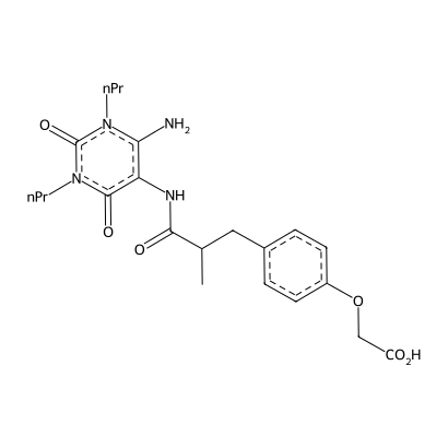 CCCn1c(N)c(NC(=O)C(C)Cc2ccc(OCC(=O)O)cc2)c(=O)n(CCC)c1=O